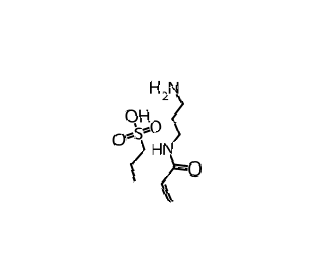 C=CC(=O)NCCCN.CCCS(=O)(=O)O